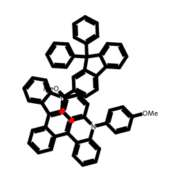 COc1ccc(N(c2ccc(OC)cc2)c2ccccc2-c2cc3c(c4ccccc24)c2ccccc2n3-c2ccc3c(c2)C(c2ccccc2)(c2ccccc2)c2ccccc2-3)cc1